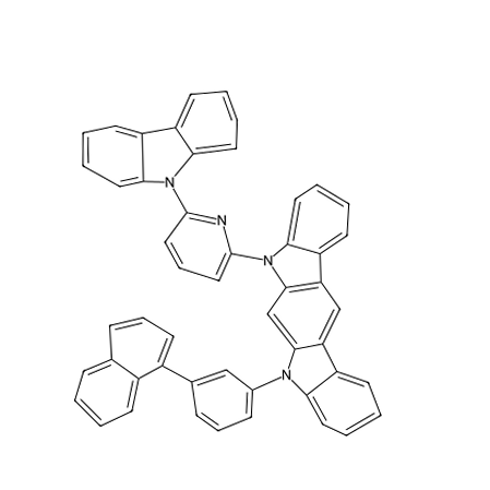 c1cc(-c2cccc3ccccc23)cc(-n2c3ccccc3c3cc4c5ccccc5n(-c5cccc(-n6c7ccccc7c7ccccc76)n5)c4cc32)c1